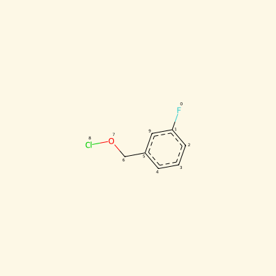 Fc1cccc(COCl)c1